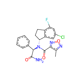 Cc1nonc1C(=O)N([C@@H]1CCc2c(F)cc(Cl)cc21)[C@@H](C(N)=O)c1ccccc1